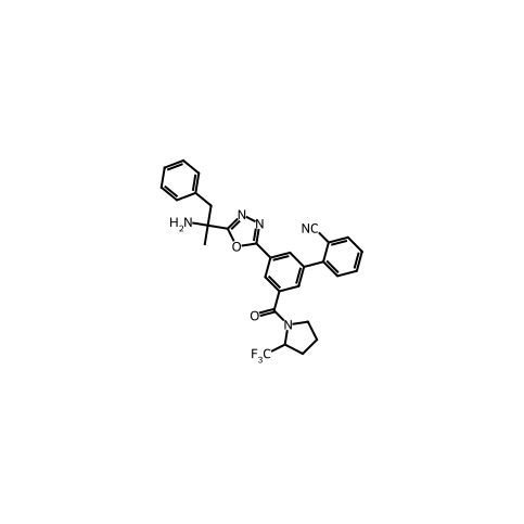 CC(N)(Cc1ccccc1)c1nnc(-c2cc(C(=O)N3CCCC3C(F)(F)F)cc(-c3ccccc3C#N)c2)o1